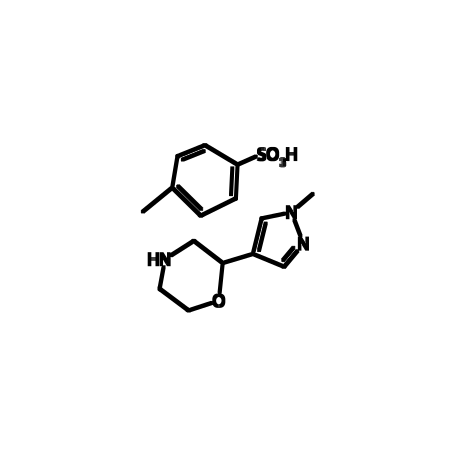 Cc1ccc(S(=O)(=O)O)cc1.Cn1cc(C2CNCCO2)cn1